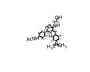 CC(=O)Nc1ccc(C(=O)N/C(=C\c2ccc(N(C)C)cc2)C(=O)NCCO)cc1